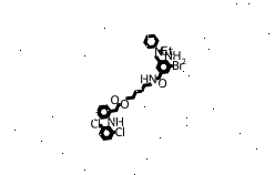 CCN(Cc1cc(C(=O)NCCCCCCOC(=O)Cc2ccccc2Nc2c(Cl)cccc2Cl)cc(Br)c1N)C1CCCCC1